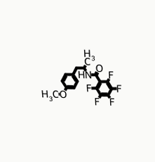 COc1ccc(CC(C)NC(=O)c2c(F)c(F)c(F)c(F)c2F)cc1